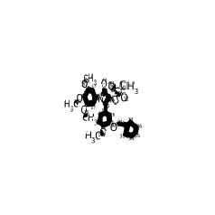 COc1ccc(C2[C@@H](OS(C)(=O)=O)C(=O)N2c2cc(OC)c(OC)c(OC)c2)cc1OCc1ccccc1